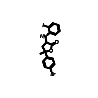 CC1(c2ccc(Br)cc2)CC(Nc2ccccc2I)C(=O)O1